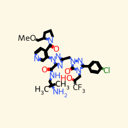 COCC1CCCN1C(=O)c1ccncc1-n1nc(Cn2nc(-c3ccc(Cl)cc3)n(CC(O)C(F)(F)F)c2=O)nc1C(=O)NCC(C)(C)N